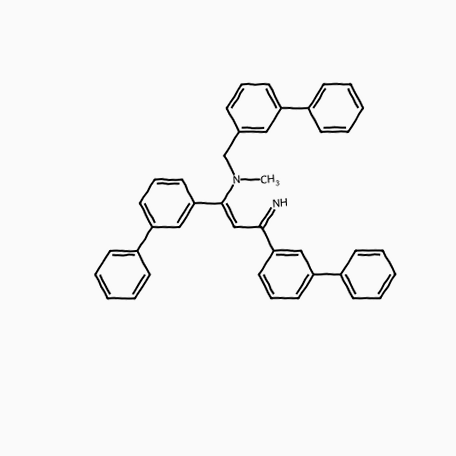 CN(Cc1cccc(-c2ccccc2)c1)/C(=C\C(=N)c1cccc(-c2ccccc2)c1)c1cccc(-c2ccccc2)c1